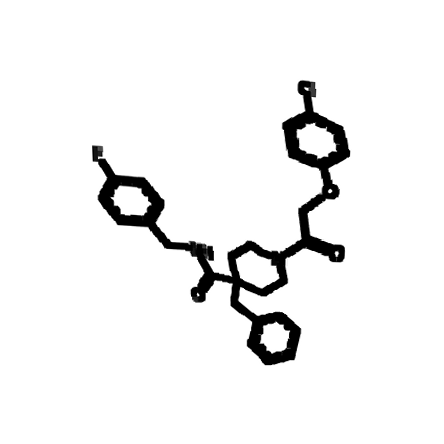 O=C(COc1ccc(Cl)cc1)N1CCC(Cc2ccccc2)(C(=O)NCc2ccc(F)cc2)CC1